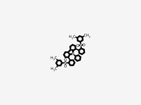 Cc1cc(C)cc(S(=O)(=O)c2ccccc2-c2cccc3c4cccc(-c5ccccc5S(=O)(=O)c5cc(C)cc(C)c5)c4n(-c4ccccc4)c23)c1